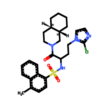 Cc1ccc(S(=O)(=O)NC(CCn2ccnc2Cl)C(=O)N2CC[C@H]3CCCC[C@@H]3C2)c2ccccc12